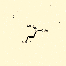 CCCCC=C[SiH](OC)OC